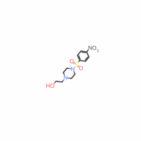 O=[N+]([O-])c1ccc(S(=O)(=O)N2CCN(CCO)CC2)cc1